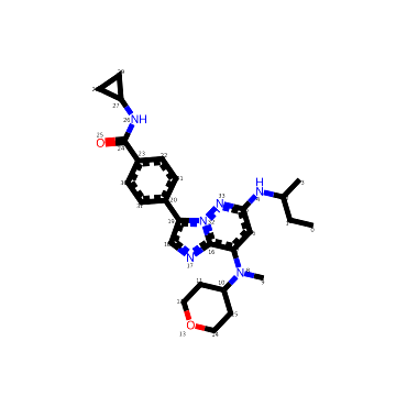 CCC(C)Nc1cc(N(C)C2CCOCC2)c2ncc(-c3ccc(C(=O)NC4CC4)cc3)n2n1